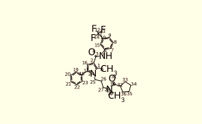 Cc1c(C(=O)Nc2cccc(C(F)(F)F)c2)cc(-c2ccccc2)n1CCCN(C)C(=O)C1CCCC1